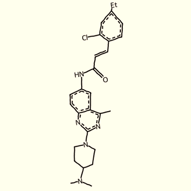 CCc1ccc(C=CC(=O)Nc2ccc3nc(N4CCC(N(C)C)CC4)nc(C)c3c2)c(Cl)c1